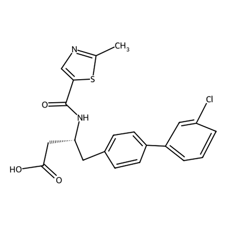 Cc1ncc(C(=O)N[C@@H](CC(=O)O)Cc2ccc(-c3cccc(Cl)c3)cc2)s1